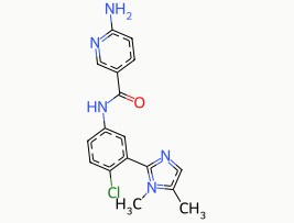 Cc1cnc(-c2cc(NC(=O)c3ccc(N)nc3)ccc2Cl)n1C